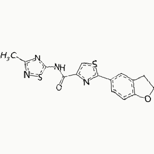 Cc1nsc(NC(=O)c2csc(-c3ccc4c(c3)CCO4)n2)n1